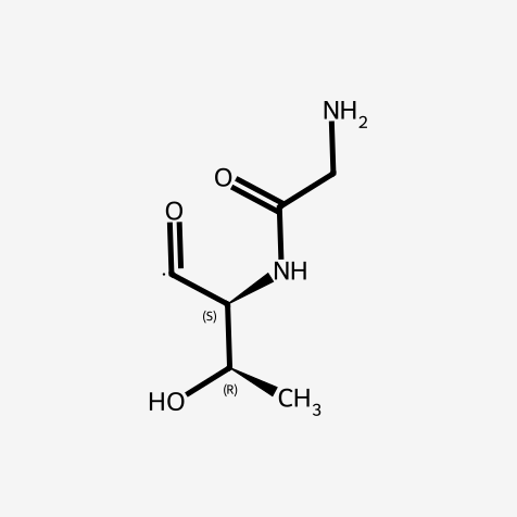 C[C@@H](O)[C@@H]([C]=O)NC(=O)CN